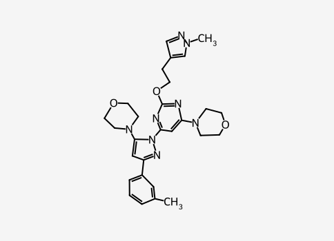 Cc1cccc(-c2cc(N3CCOCC3)n(-c3cc(N4CCOCC4)nc(OCCc4cnn(C)c4)n3)n2)c1